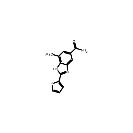 COc1cc(C(N)=O)cc2nc(-c3cccs3)[nH]c12